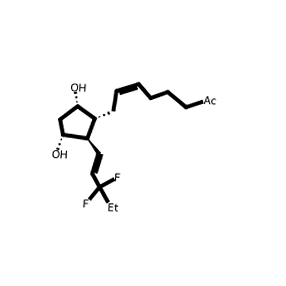 CCC(F)(F)/C=C/[C@@H]1[C@@H](C/C=C\CCCC(C)=O)[C@@H](O)C[C@H]1O